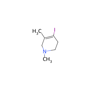 CC1=C(I)CCN(C)C1